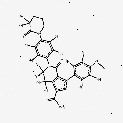 [2H]c1c([2H])c(-n2nc(C(N)=O)c3c2C(=O)N(c2c([2H])c([2H])c(N4CCCC([2H])([2H])C4=O)c([2H])c2[2H])C([2H])([2H])C3([2H])[2H])c([2H])c([2H])c1OC